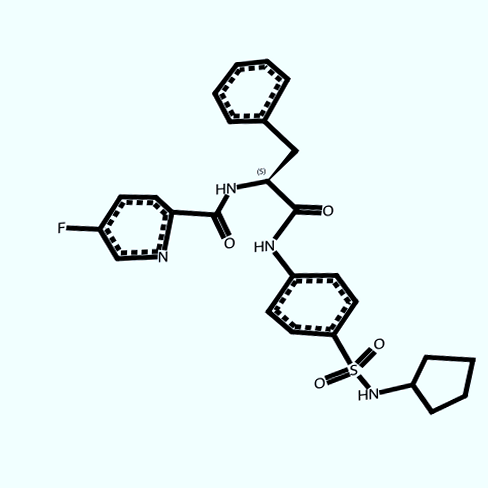 O=C(N[C@@H](Cc1ccccc1)C(=O)Nc1ccc(S(=O)(=O)NC2CCCC2)cc1)c1ccc(F)cn1